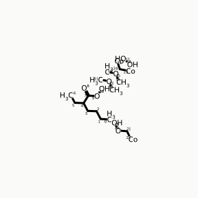 CCCCC(CC)C(=O)OO.COC.COC.OO.OO[CH2][Co].[Co][CH2][Co]